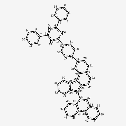 c1ccc(-c2nc(-c3ccccc3)nc(-c3ccc(-c4ccc5ccc6c(c5c4)c4ccccc4n6-c4cc5ccccc5c5ccccc45)cc3)n2)cc1